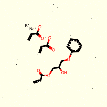 C=CC(=O)OCC(O)COc1ccccc1.C=CC(=O)[O-].C=CC(=O)[O-].[K+].[Na+]